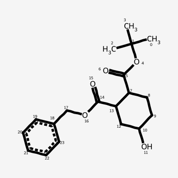 CC(C)(C)OC(=O)C1CCC(O)CC1C(=O)OCc1ccccc1